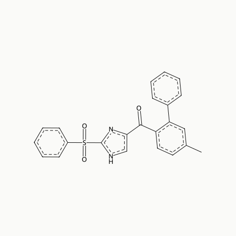 Cc1ccc(C(=O)c2c[nH]c(S(=O)(=O)c3ccccc3)n2)c(-c2ccccc2)c1